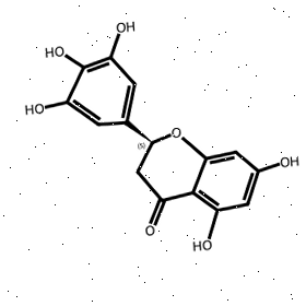 O=C1C[C@@H](c2cc(O)c(O)c(O)c2)Oc2cc(O)cc(O)c21